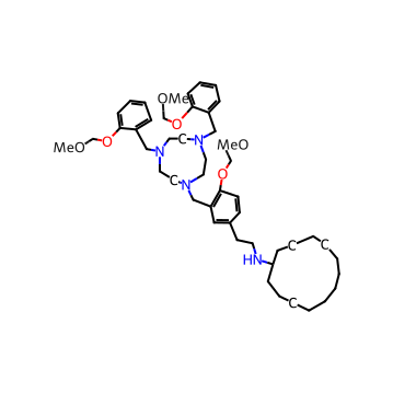 COCOc1ccccc1CN1CCN(Cc2ccccc2OCOC)CCN(Cc2cc(CCNC3CCCCCCCCCCCC3)ccc2OCOC)CC1